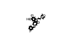 O=C1N(CCN2CCOCC2)c2cc(Cl)c(O)cc2C12CCN(Cc1cccc(F)c1)CC2